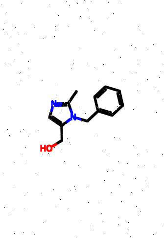 Cc1ncc(CO)n1Cc1ccccc1